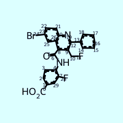 O=C(O)c1ccc(NC(=O)c2c(CF)c(-c3ccccc3)nc3ccc(Br)cc23)c(F)c1